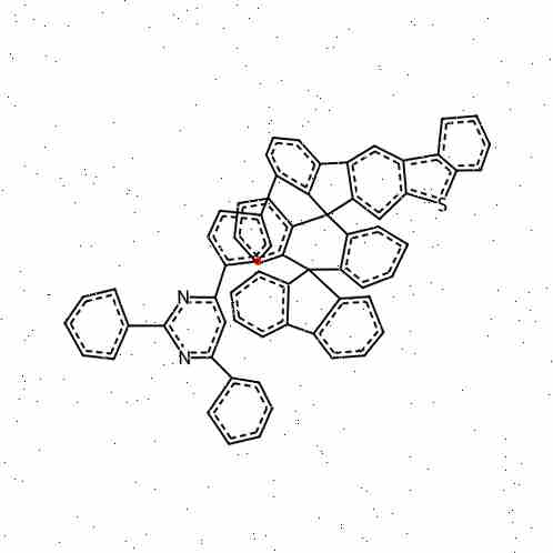 c1ccc(-c2cc(-c3ccc(-c4cccc5c4C4(c6cc7sc8ccccc8c7cc6-5)c5ccccc5C5(c6ccccc6-c6ccccc65)c5ccccc54)cc3)nc(-c3ccccc3)n2)cc1